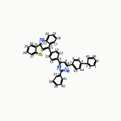 c1ccc(-c2ccc(-c3cc(-c4ccc(-c5c6ccccc6nc6c5sc5ccccc56)cc4)nc(-c4ccccc4)n3)cc2)cc1